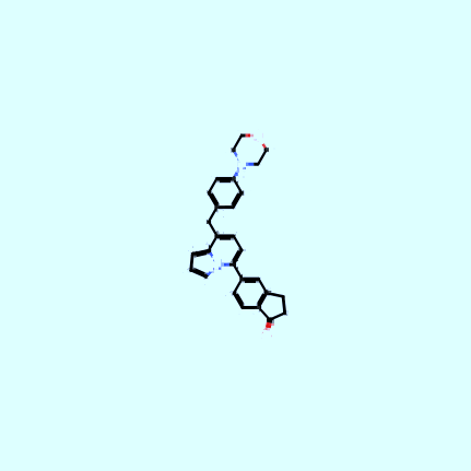 O=C1CCc2cc(-c3ccc(Cc4ccc(N5CCOCC5)cc4)c4cccn34)ccc21